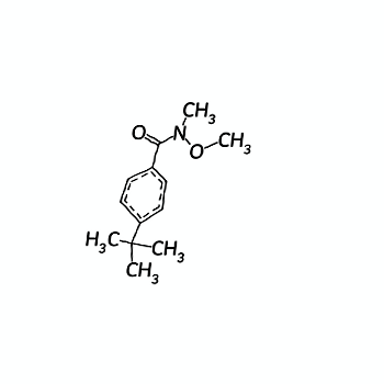 CON(C)C(=O)c1ccc(C(C)(C)C)cc1